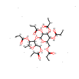 CCC(=O)OCC1OC(OC2C(COC(=O)CC)O[C@@H](C)C2OC(=O)CC)C(OC(=O)CC)C(OC(=O)CC)C1OC(=O)CC